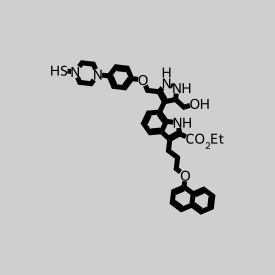 CCOC(=O)c1[nH]c2c(C3=C(COc4ccc(N5CCN(S)CC5)cc4)NNC3CO)cccc2c1CCCOc1cccc2ccccc12